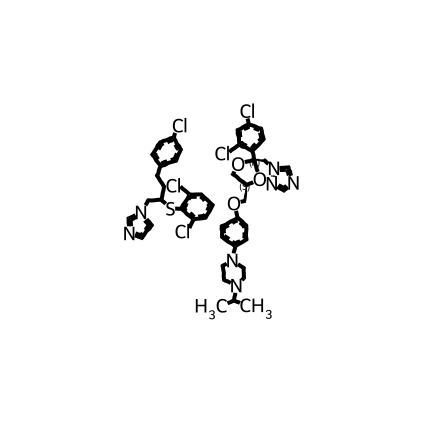 CC(C)N1CCN(c2ccc(OC[C@H]3CO[C@](Cn4cncn4)(c4ccc(Cl)cc4Cl)O3)cc2)CC1.Clc1ccc(CCC(Cn2ccnc2)Sc2c(Cl)cccc2Cl)cc1